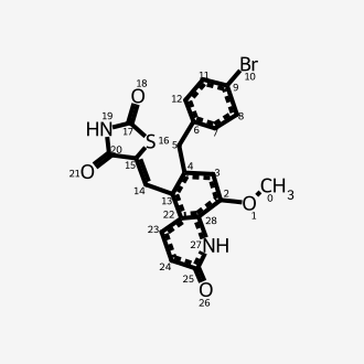 COc1cc(Cc2ccc(Br)cc2)c(C=C2SC(=O)NC2=O)c2ccc(=O)[nH]c12